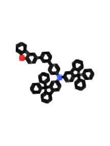 c1ccc(C2(c3ccccc3)c3ccccc3-c3cc(N(c4ccc(-c5cccc(-c6ccc7oc8ccccc8c7c6)c5)cc4)c4ccc5c(c4)C(c4ccccc4)(c4ccccc4)c4ccccc4-5)ccc32)cc1